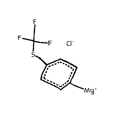 FC(F)(F)Sc1cc[c]([Mg+])cc1.[Cl-]